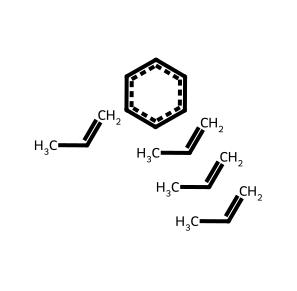 C=CC.C=CC.C=CC.C=CC.c1ccccc1